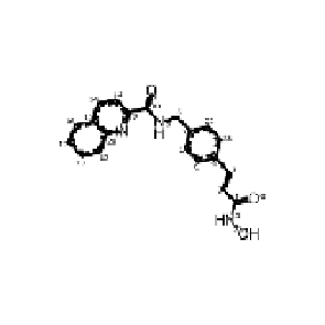 O=C(C=Cc1ccc(CNC(=O)c2ccc3ccccc3n2)cc1)NO